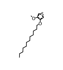 CCCCCCCCCCCCOc1cscc1OC